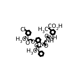 CC(C(=O)O)c1cccc(NC(=O)NCC(=O)N(CC(=O)N(C)c2ccccc2)c2cccc(OCC(=O)N(C)c3cccc(Cl)c3)c2)c1